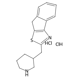 Cl.Cl.c1ccc2c(c1)Cc1sc(CC3CCCNC3)nc1-2